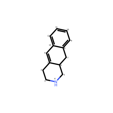 C1=C2CCNCC2Cc2ccccc21